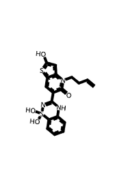 C=CCCn1c(=O)c(C2=NS(O)(O)c3ccccc3N2)cc2sc(O)cc21